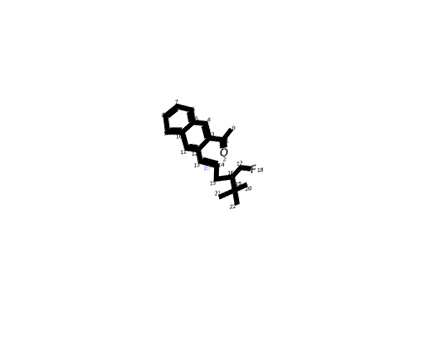 CC(=O)c1cc2ccccc2cc1/C=C/CC(CF)C(C)(C)C